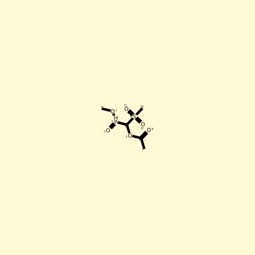 CO[PH](=O)C(OC(C)=O)S(C)(=O)=O